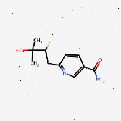 CC(C)(O)C(F)Cc1ccc(C(N)=O)cn1